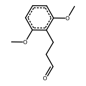 COc1cccc(OC)c1CCC=O